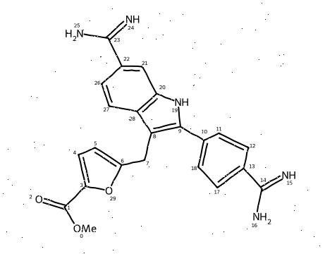 COC(=O)c1ccc(Cc2c(-c3ccc(C(=N)N)cc3)[nH]c3cc(C(=N)N)ccc23)o1